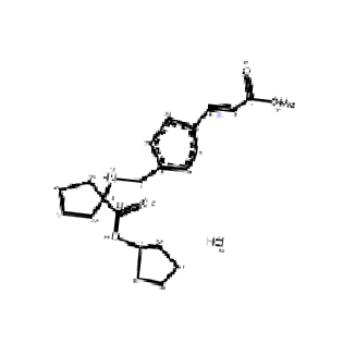 COC(=O)/C=C/c1ccc(CNC2(C(=O)OC3CCCC3)CCCC2)cc1.Cl